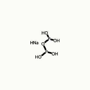 OP(O)OP(O)O.[NaH]